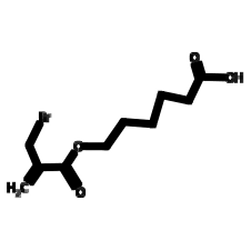 C=C(CBr)C(=O)OCCCCCC(=O)O